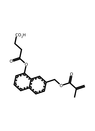 C=C(C)C(=O)OCc1ccc2cccc(OC(=O)CCC(=O)O)c2c1